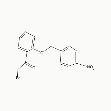 O=C(CBr)c1ccccc1OCc1ccc([N+](=O)[O-])cc1